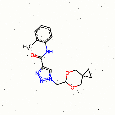 Cc1ccccc1NC(=O)c1cn(CC2OCC3(CC3)CO2)nn1